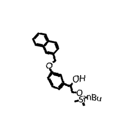 CCCC[Si](C)(C)OCC(O)c1cccc(OCc2ccc3ccccc3c2)c1